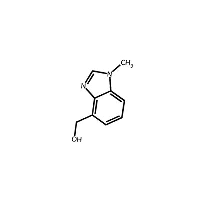 Cn1cnc2c(CO)cccc21